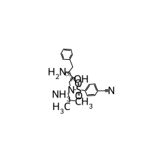 CC(C)CN(C[C@@H](O)[C@@H](N)Cc1ccccc1)S(=O)(=O)c1ccc(C#N)cc1.N